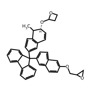 CC1c2ccc(C3(c4ccc5cc(OCC6CO6)ccc5c4)c4ccccc4-c4ccccc43)cc2C=C[C@H]1OC1CCO1